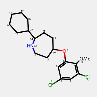 COc1c(Cl)cc(Cl)cc1OC1CCNC(C2CCCCC2)CC1